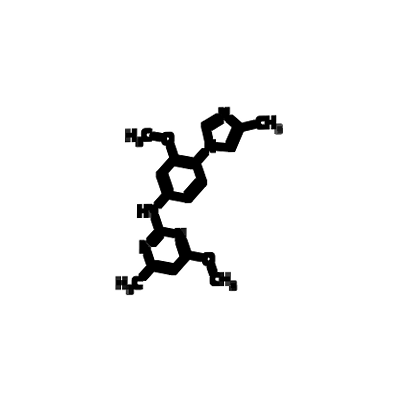 COc1cc(C)nc(Nc2ccc(-n3cnc(C)c3)c(OC)c2)n1